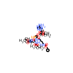 CC(C)(C)OC(=O)N[C@@H](Cc1cn(C(=O)OC(C)(C)C)cn1)C(=O)Nc1[pH]cc(OC[C@H]2O[C@@H](n3cnc4c(N)ncnc43)[C@@H]3OC(C)(C)O[C@@H]32)c1OCCCCCCNC(=O)OCc1ccccc1